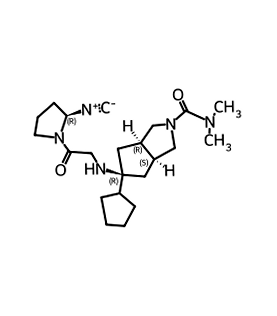 [C-]#[N+][C@@H]1CCCN1C(=O)CN[C@@]1(C2CCCC2)C[C@H]2CN(C(=O)N(C)C)C[C@H]2C1